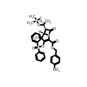 CC(O[Si](C)(C)C)[C@H]1C(=O)N2C(C(=O)OCc3ccc([N+](=O)[O-])cc3)=C(OP(=O)(c3ccccc3)c3ccccc3)[C@H](C)[C@H]12